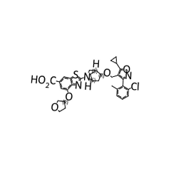 Cc1cccc(Cl)c1-c1noc(C2CC2)c1CO[C@@H]1C[C@@H]2C[C@H]1CN2c1nc2c(O[C@@H]3CCOC3)cc(C(=O)O)cc2s1